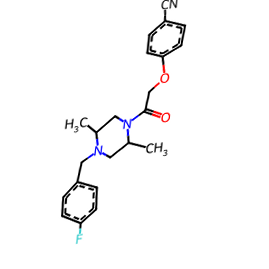 CC1CN(C(=O)COc2ccc(C#N)cc2)C(C)CN1Cc1ccc(F)cc1